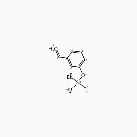 C=Cc1cccc(O[Si](C)(CC)CC)c1